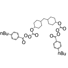 CCCCc1ccc(C(=O)OOC(=O)OC2CCC(CC3CCC(OC(=O)OOC(=O)c4ccc(CCCC)cc4)CC3)CC2)cc1